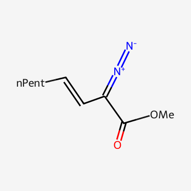 CCCCCC=CC(=[N+]=[N-])C(=O)OC